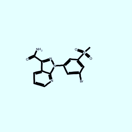 CS(=O)(=O)c1cc(Br)cc(-n2nc(C(N)=O)c3cccnc32)c1